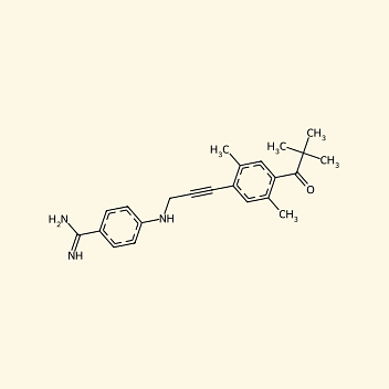 Cc1cc(C(=O)C(C)(C)C)c(C)cc1C#CCNc1ccc(C(=N)N)cc1